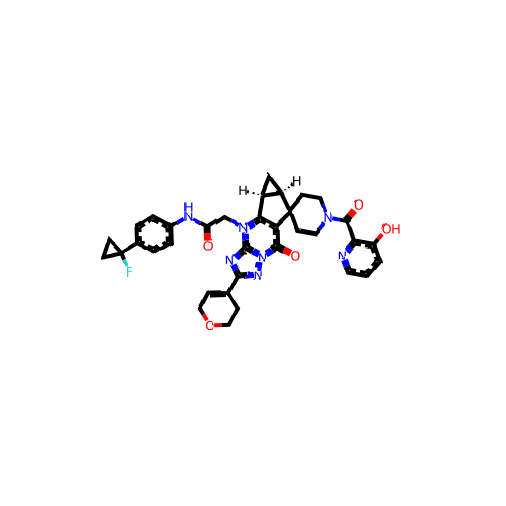 O=C(Cn1c2c(c(=O)n3nc(C4=CCOCC4)nc13)C1(CCN(C(=O)c3ncccc3O)CC1)[C@@H]1C[C@H]21)Nc1ccc(C2(F)CC2)cc1